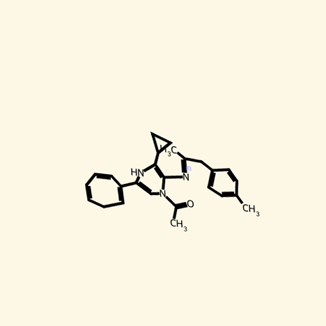 CC(=O)N1C=C(C2=CCC=CC=C2)NC(C2CC2)=C1/N=C(\C)Cc1ccc(C)cc1